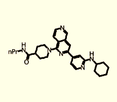 CCCNC(=O)C1CCN(c2nc(-c3ccnc(NC4CCCCC4)c3)cc3cnccc23)CC1